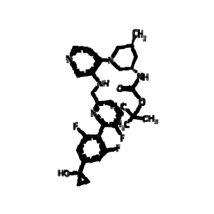 C[C@@H]1C[C@H](NC(=O)OC(C)(C)C)CN(c2ccncc2NCc2ccc(F)c(-c3c(F)cc(C4(O)CC4)cc3F)n2)C1